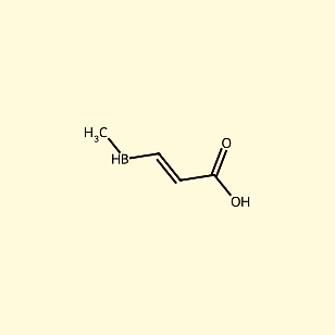 CB/C=C/C(=O)O